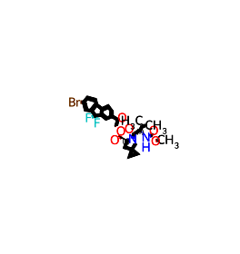 COC(=O)N[C@H](C(=O)N1CC2(CC2)C[C@H]1C(=O)OCC(=O)c1ccc2c(c1)C(F)(F)c1cc(Br)ccc1-2)C(C)C